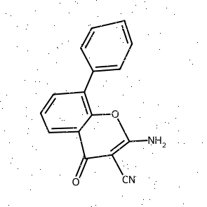 N#Cc1c(N)oc2c(-c3ccccc3)cccc2c1=O